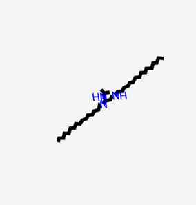 CCCCCCCCCCCCCCCCN=C(CCNCCCCCCCCCCCCCCCC)NC(C)C